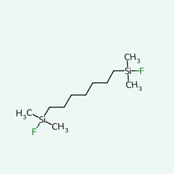 C[Si](C)(F)CCCCCCC[Si](C)(C)F